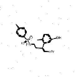 CCC/C=C(/CCNS(=O)(=O)c1ccc(C)cc1)c1cc(O)ccc1C